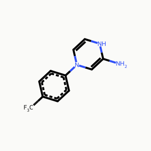 NC1=CN(c2ccc(C(F)(F)F)cc2)C=CN1